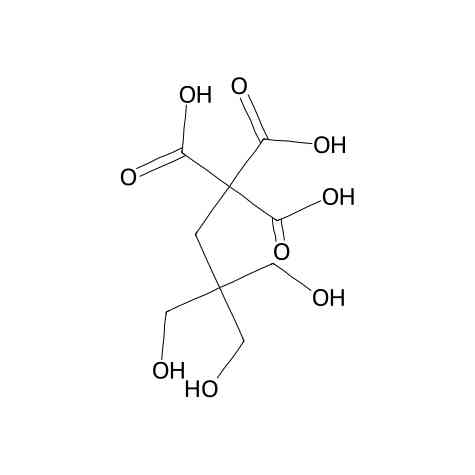 O=C(O)C(CC(CO)(CO)CO)(C(=O)O)C(=O)O